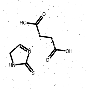 O=C(O)CCC(=O)O.S=C1N=CCN1